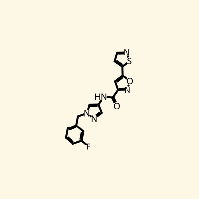 O=C(Nc1cnn(Cc2cccc(F)c2)c1)c1cc(-c2ccns2)on1